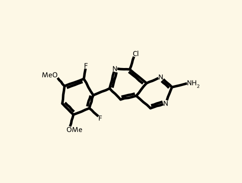 COc1cc(OC)c(F)c(-c2cc3cnc(N)nc3c(Cl)n2)c1F